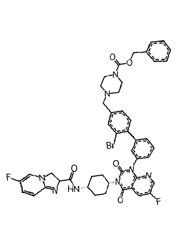 O=C(N[C@H]1CC[C@@H](n2c(=O)c3cc(F)cnc3n(-c3cccc(-c4ccc(CN5CCN(C(=O)OCc6ccccc6)CC5)cc4Br)c3)c2=O)CC1)C1CN2C=C(F)C=CC2=N1